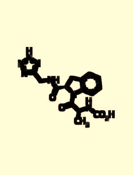 CC(NC(=O)O)C(=O)N1c2ccccc2C[C@@H]1C(=O)NCc1nn[nH]n1